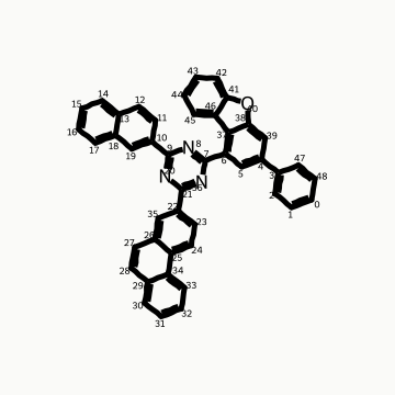 c1ccc(-c2cc(-c3nc(-c4ccc5ccccc5c4)nc(-c4ccc5c(ccc6ccccc65)c4)n3)c3c(c2)oc2ccccc23)cc1